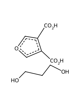 O=C(O)c1cocc1C(=O)O.OCCCO